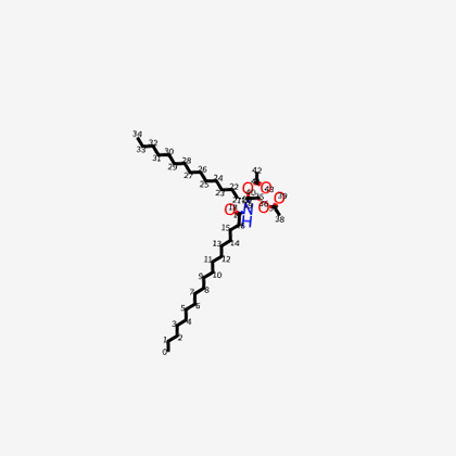 CCCCCCCCCCCCCCCCCC(=O)N[C@](CCCCCCCCCCCCCC)(COC(C)=O)OC(C)=O